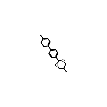 CC1=CC=C(c2ccc(C3OCC(C)CO3)cc2)CC1